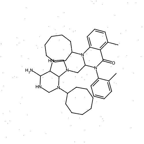 Cc1ccccc1N1C(=O)c2c(C)cccc2N(C2CCCCCCC2)C1CN1CNC2C(N)NCN(C3CCCCCCC3)C21